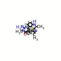 Cc1nc(C(C)Nc2ccc(F)c(C3(C)N=C(N)N(C)C(=O)C3(C)C)c2)sc1C